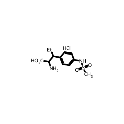 CCC(c1ccc(NS(C)(=O)=O)cc1)C(N)C(=O)O.Cl